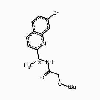 C[C@@H](NC(=O)COC(C)(C)C)c1ccc2ccc(Br)cc2n1